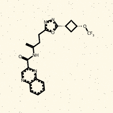 C=C(CCc1nnc([C@H]2C[C@@H](OC(F)(F)F)C2)o1)NC(=O)c1cnc2ccccc2n1